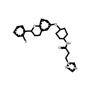 O=C(CCn1cncn1)NC1CCC(Oc2ccc3c(c2)CCC(c2ccccc2F)O3)CC1